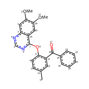 COc1cc2ncnc(Oc3ccc(C)cc3C(=O)c3ccccc3)c2cc1OC